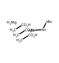 CC(=O)O.CC(=O)O.CC(=O)O.CCC[CH2][Sn][CH2]CCC.[MgH2]